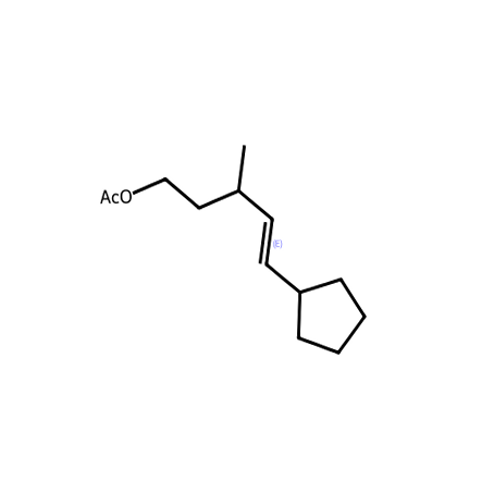 CC(=O)OCCC(C)/C=C/C1CCCC1